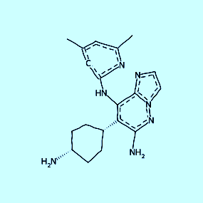 Cc1cc(C)nc(Nc2c3nccn3nc(N)c2[C@H]2CC[C@@H](N)CC2)c1